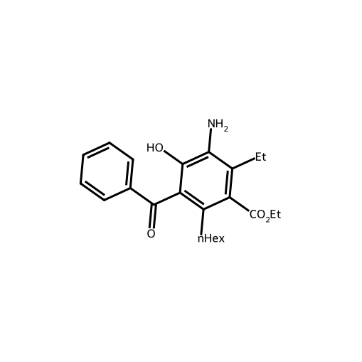 CCCCCCc1c(C(=O)c2ccccc2)c(O)c(N)c(CC)c1C(=O)OCC